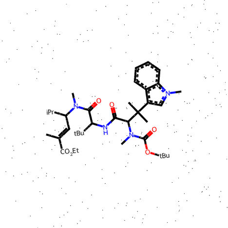 CCOC(=O)/C(C)=C/C(C(C)C)N(C)C(=O)C(NC(=O)C(N(C)C(=O)OC(C)(C)C)C(C)(C)c1cn(C)c2ccccc12)C(C)(C)C